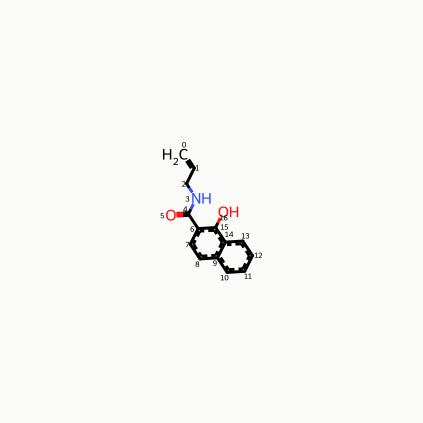 C=CCNC(=O)c1ccc2ccccc2c1O